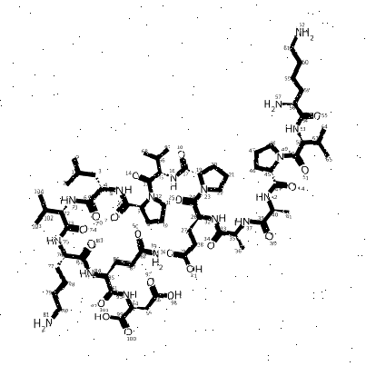 CC(C)C[C@H](NC(=O)[C@@H]1CCCN1C(=O)[C@@H](NC(=O)[C@@H]1CCCN1C(=O)[C@H](CCC(=O)O)NC(=O)[C@H](C)NC(=O)[C@H](C)NC(=O)[C@@H]1CCCN1C(=O)[C@@H](NC(=O)[C@@H](N)CCCCN)C(C)C)C(C)C)C(=O)N[C@H](C(=O)N[C@@H](CCCCN)C(=O)N[C@@H](CCC(N)=O)C(=O)N[C@@H](CC(=O)O)C(=O)O)C(C)C